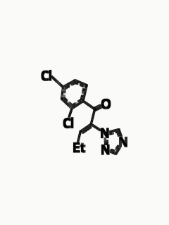 CCC=C(C(=O)c1ccc(Cl)cc1Cl)n1cncn1